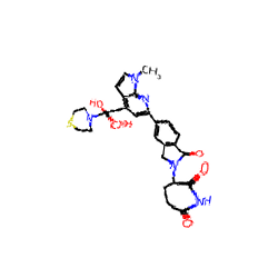 Cn1ccc2c(C(O)(O)N3CCSCC3)cc(-c3ccc4c(c3)CN(C3CCC(=O)NC3=O)C4=O)nc21